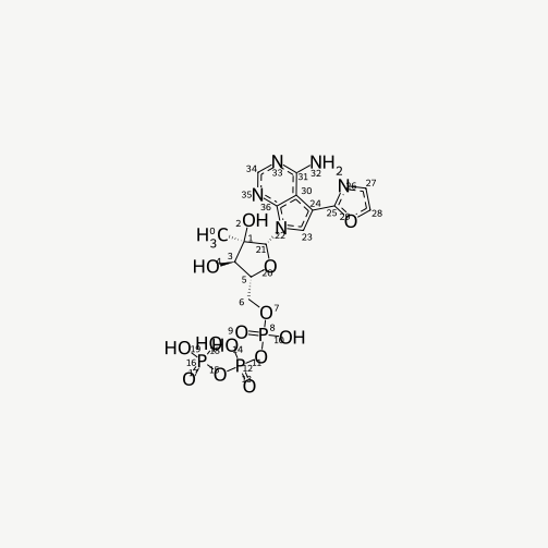 C[C@@]1(O)[C@H](O)[C@@H](COP(=O)(O)OP(=O)(O)OP(=O)(O)O)O[C@H]1n1cc(-c2ncco2)c2c(N)ncnc21